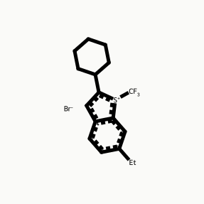 CCc1ccc2cc(C3CCCCC3)[s+](C(F)(F)F)c2c1.[Br-]